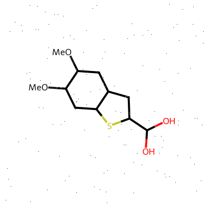 COC1CC2CC(C(O)O)SC2CC1OC